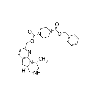 C[C@@H]1CNC[C@H]2Cc3ccc(COC(=O)N4CCN(C(=O)OCc5ccccc5)CC4)nc3N21